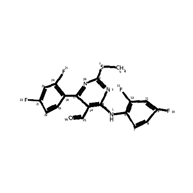 CSc1nc(Nc2ccc(F)cc2F)c(C=O)c(-c2ccc(F)cc2F)n1